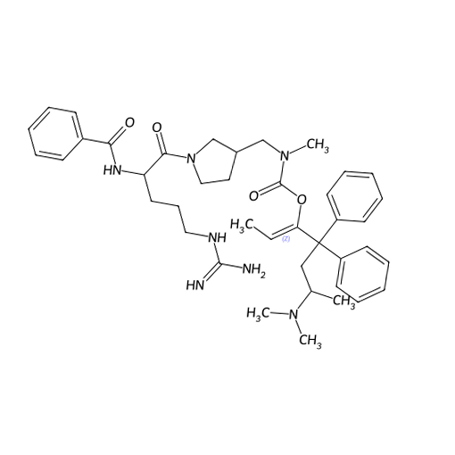 C/C=C(\OC(=O)N(C)CC1CCN(C(=O)C(CCCNC(=N)N)NC(=O)c2ccccc2)C1)C(CC(C)N(C)C)(c1ccccc1)c1ccccc1